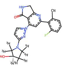 [2H]C1([2H])N(c2ccn(-c3cc(-c4c(F)cccc4C#N)nc4c3C(=O)NC4)n2)C([2H])([2H])[C@]([2H])(O)C1([2H])[2H]